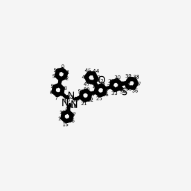 c1ccc(-c2cccc(-c3nc(-c4ccccc4)nc(-c4ccc(-c5ccc(-c6ccc7c(c6)sc6ccccc67)c6oc7ccccc7c56)cc4)n3)c2)cc1